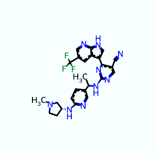 CC(Nc1ncc(C#N)c(-c2c[nH]c3ncc(C(F)(F)F)cc23)n1)c1ccc(N[C@@H]2CCN(C)C2)nc1